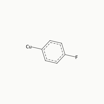 Fc1cc[c]([Cu])cc1